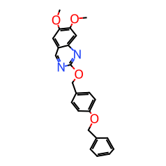 COc1cc2cnc(OCc3ccc(OCc4ccccc4)cc3)nc2cc1OC